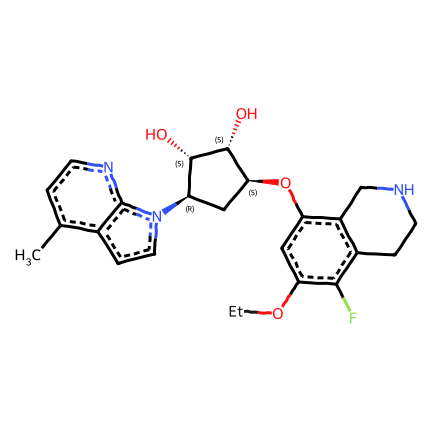 CCOc1cc(O[C@H]2C[C@@H](n3ccc4c(C)ccnc43)[C@H](O)[C@@H]2O)c2c(c1F)CCNC2